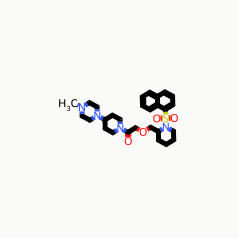 CN1CCN(C2CCN(C(=O)COCC3CCCCN3S(=O)(=O)c3cccc4ccccc34)CC2)CC1